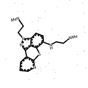 CNCCNc1ccc2c3c(nn2CCNC)-c2cccnc2Sc13